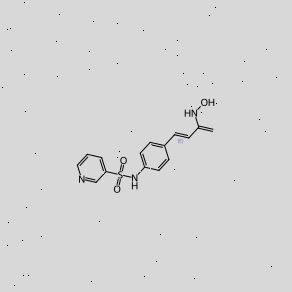 C=C(/C=C/c1ccc(NS(=O)(=O)c2cccnc2)cc1)NO